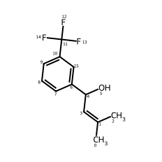 CC(C)=CC(O)c1cccc(C(F)(F)F)c1